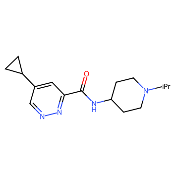 CC(C)N1CCC(NC(=O)c2cc(C3CC3)cnn2)CC1